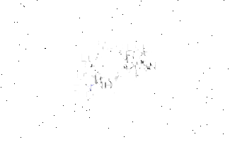 CC[C@@H]1OC(=O)[C@H](C)C(=O)[C@H](C)[C@@H](OC2O[C@H](C)C[C@H](N(C)C)[C@H]2O[Si](CC)(CC)CC)[C@](C)(OC)C[C@@H](C)C(=O)[C@H](C)[C@H]2[C@H](/C(N)=N/OC(C)PC)C(=O)O[C@]21C